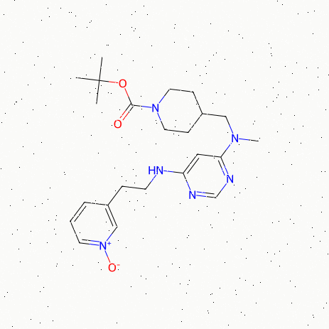 CN(CC1CCN(C(=O)OC(C)(C)C)CC1)c1cc(NCCc2ccc[n+]([O-])c2)ncn1